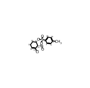 Cc1ccc(S(=O)(=O)O[C@H]2CCC=C(Cl)[C@H]2N=O)cc1